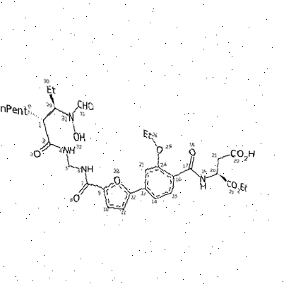 CCCCC[C@@H](C(=O)NCNC(=O)c1ccc(-c2ccc(C(=O)N[C@@H](CC(=O)O)C(=O)OCC)c(OCC)c2)o1)[C@@H](CC)N(O)C=O